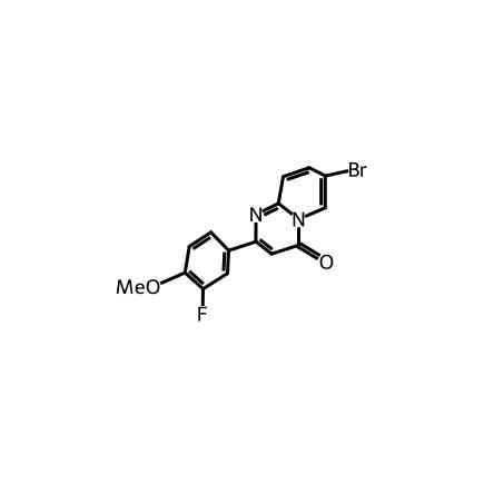 COc1ccc(-c2cc(=O)n3cc(Br)ccc3n2)cc1F